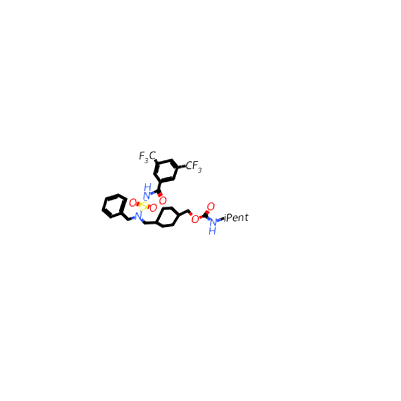 CCCC(C)NC(=O)OCC1CCC(CN(Cc2ccccc2)S(=O)(=O)NC(=O)c2cc(C(F)(F)F)cc(C(F)(F)F)c2)CC1